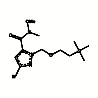 CON(C)C(=O)c1cc(Br)nn1COCC[Si](C)(C)C